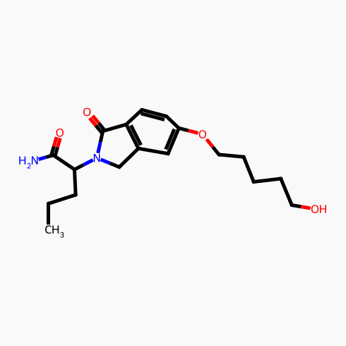 CCCC(C(N)=O)N1Cc2cc(OCCCCCO)ccc2C1=O